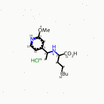 COc1cc(C(C)NC(CCC(C)(C)C)C(=O)O)ccn1.Cl